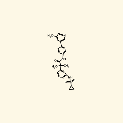 Cc1cncc(-c2ccc(NC(=O)C(C)(C)c3ccnc(NS(=O)(=O)C4CC4)n3)cc2)c1